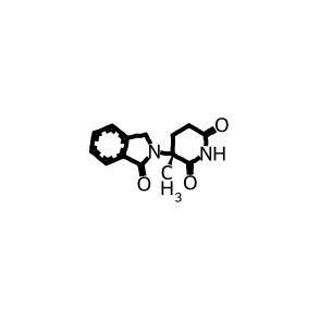 C[C@@]1(N2Cc3ccccc3C2=O)CCC(=O)NC1=O